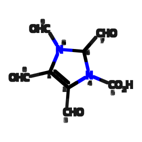 O=CC1=C(C=O)N(C(=O)O)C(C=O)N1C=O